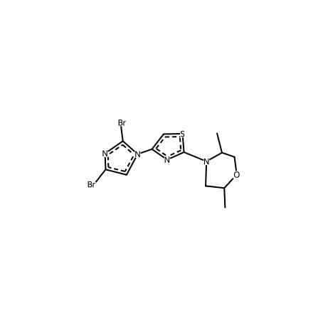 CC1CN(c2nc(-n3cc(Br)nc3Br)cs2)C(C)CO1